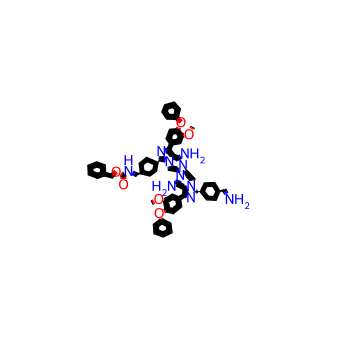 COc1cc(-c2nc([C@H]3CC[C@H](CN)CC3)n3ccnc(N)c23)ccc1Oc1ccccc1.COc1cc(-c2nc([C@H]3CC[C@H](CNC(=O)OCc4ccccc4)CC3)n3ccnc(N)c23)ccc1Oc1ccccc1